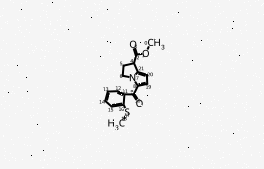 COC(=O)C1CCn2c(C(=O)c3ccccc3SC)ccc21